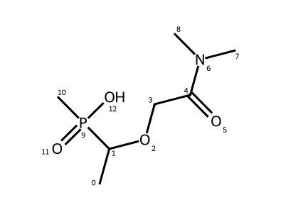 CC(OCC(=O)N(C)C)P(C)(=O)O